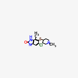 Cc1c2c(cc(Cl)c1SC1CCN(C)CC1)[N]C(=O)N2